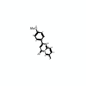 COc1ccc(-c2cc(=O)n3cc(C)ccc3n2)cc1